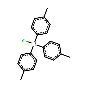 Cc1cc[c]([Hf]([Cl])([c]2ccc(C)cc2)[c]2ccc(C)cc2)cc1